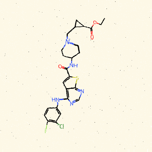 CCOC(=O)C1CC1CN1CCC(NC(=O)c2cc3c(Nc4ccc(F)c(Cl)c4)ncnc3s2)CC1